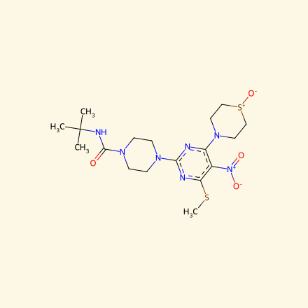 CSc1nc(N2CCN(C(=O)NC(C)(C)C)CC2)nc(N2CC[S+]([O-])CC2)c1[N+](=O)[O-]